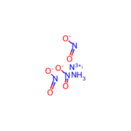 N.O=N[O-].O=N[O-].O=N[O-].[N+3]